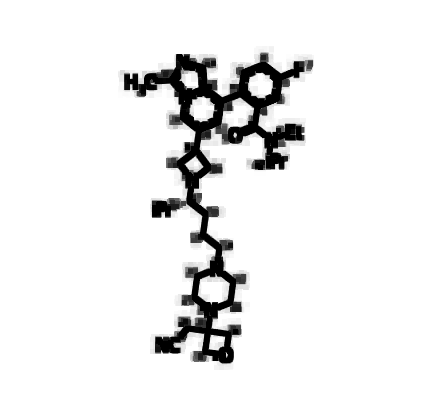 CCN(C(=O)c1cc(F)ccc1-c1cc(C2CN([C@H](CCCN3CCN(C4(CC#N)COC4)CC3)C(C)C)C2)cn2c(C)ncc12)C(C)C